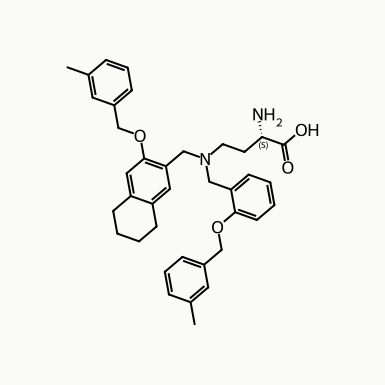 Cc1cccc(COc2ccccc2CN(CC[C@H](N)C(=O)O)Cc2cc3c(cc2OCc2cccc(C)c2)CCCC3)c1